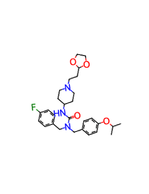 CC(C)Oc1ccc(CN(Cc2ccc(F)cc2)C(=O)NC2CCN(CCC3OCCO3)CC2)cc1